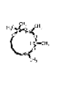 C[SiH]1CCCCO[Si](C)(C)O[SiH](C)O[SiH](C)O1